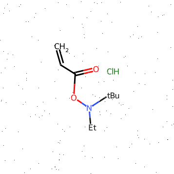 C=CC(=O)ON(CC)C(C)(C)C.Cl